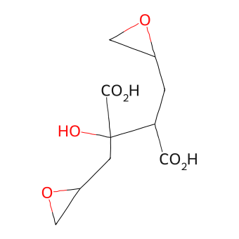 O=C(O)C(CC1CO1)C(O)(CC1CO1)C(=O)O